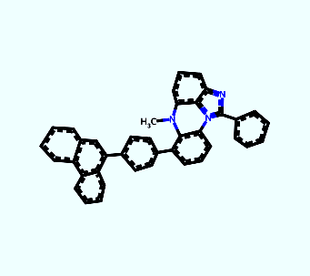 CN1c2c(-c3ccc(-c4cc5ccccc5c5ccccc45)cc3)cccc2-n2c(-c3ccccc3)nc3cccc1c32